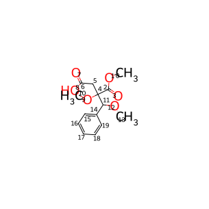 COC(=O)C(CC(=O)O)(OC)C(OC)c1ccccc1